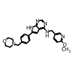 COc1ccc(CNc2ncnc3[nH]c(-c4ccc(CN5CCOCC5)cc4)cc23)cn1